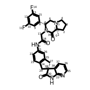 C[C@@]12CCCN1C[C@@H](c1cc(F)cc(F)c1)N(CC(=O)Nc1ccc3c(c1)C[C@@]1(C3)C(=O)Nc3ncccc31)C2=O